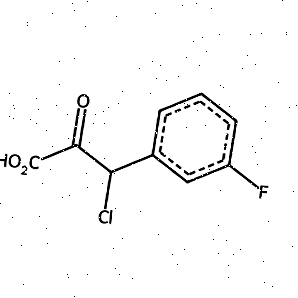 O=C(O)C(=O)C(Cl)c1cccc(F)c1